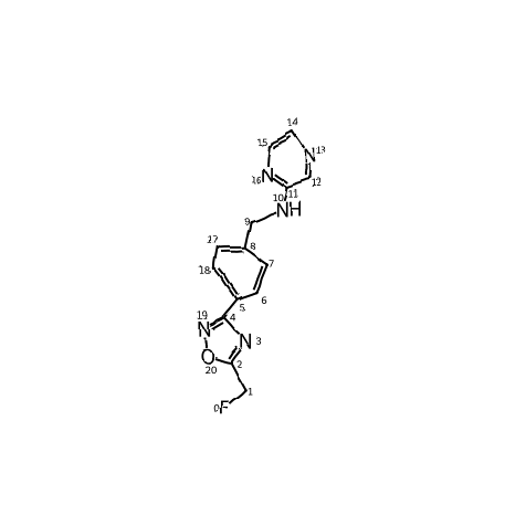 FCc1nc(-c2ccc(CNc3cnccn3)cc2)no1